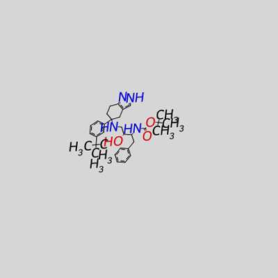 CC(C)(C)OC(=O)NC(Cc1ccccc1)C(O)CNC1(c2cccc(C(C)(C)C)c2)CCc2n[nH]cc2C1